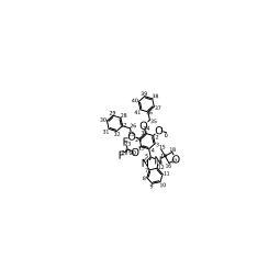 COc1cc(-c2nc3ccccc3n2C2(C)COC2)c(OC(F)F)c(OCc2ccccc2)c1OCc1ccccc1